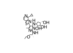 CCOC[C@@H](C)Nc1nc(C)c(-c2nc3c(C4CC4)nccc3s2)c(NC2C[C@H](CO)[C@@H](O)[C@H]2O)n1